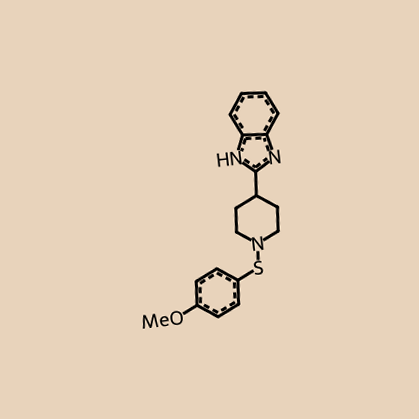 COc1ccc(SN2CCC(c3nc4ccccc4[nH]3)CC2)cc1